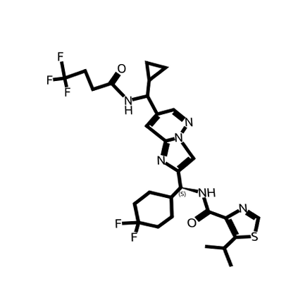 CC(C)c1scnc1C(=O)N[C@H](c1cn2ncc(C(NC(=O)CCC(F)(F)F)C3CC3)cc2n1)C1CCC(F)(F)CC1